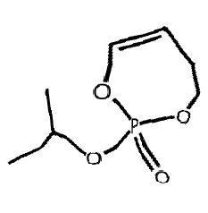 CC(C)OP1(=O)OC=CCO1